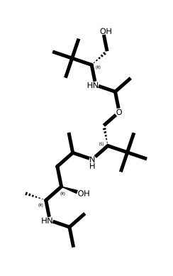 CC(C)N[C@H](C)[C@H](O)CC(C)N[C@H](COC(C)N[C@@H](CO)C(C)(C)C)C(C)(C)C